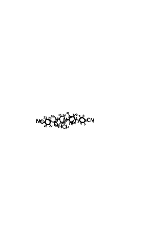 Cc1c(-c2ccc(C#N)cc2)nnc(N2CCC(N(C)C(=O)c3ccc(C#N)cc3)CC2)c1C.Cl